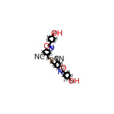 N#Cc1cc2oc(-c3ccc(O)cc3)nc2cc1CSCc1cc2nc(-c3ccc(O)cc3)oc2cc1C#N